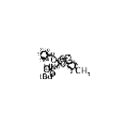 Cc1ccc(S(=O)(=O)OC(CNC(=O)OC(C)(C)C)COCc2ccccc2)cc1